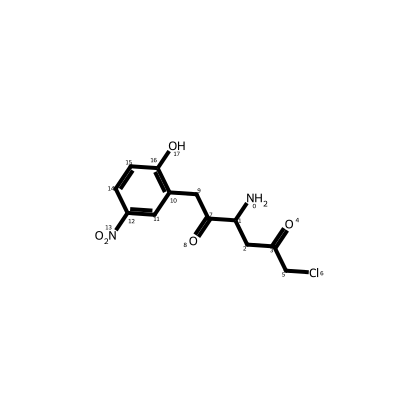 NC(CC(=O)CCl)C(=O)Cc1cc([N+](=O)[O-])ccc1O